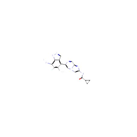 COc1c(F)c(NC(C)C)c2[nH]ncc2c1-c1cn2cc(NC(=O)C3CC3)nc2cn1